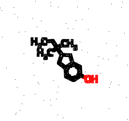 CCC(C)(C)C1Cc2ccc(O)cc2C1